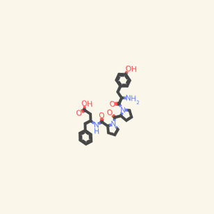 NC(Cc1ccc(O)cc1)C(=O)N1CCCC1C(=O)N1CCCC1C(=O)NC(CC(=O)O)Cc1ccccc1